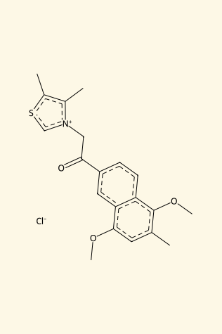 COc1cc(C)c(OC)c2ccc(C(=O)C[n+]3csc(C)c3C)cc12.[Cl-]